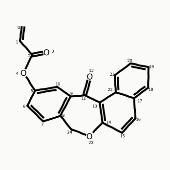 C=CC(=O)Oc1ccc2c(c1)C(=O)c1c(ccc3ccccc13)OC2